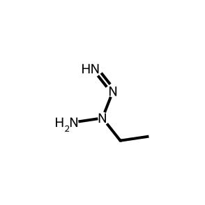 CCN(N)N=N